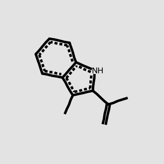 C=C(C)c1[nH]c2ccccc2c1C